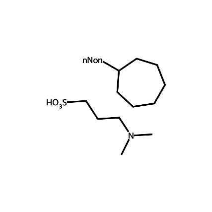 CCCCCCCCCC1CCCCCC1.CN(C)CCCS(=O)(=O)O